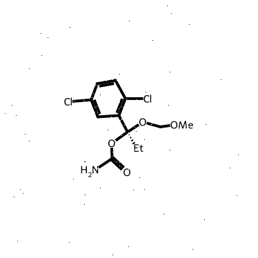 CC[C@](OCOC)(OC(N)=O)c1cc(Cl)ccc1Cl